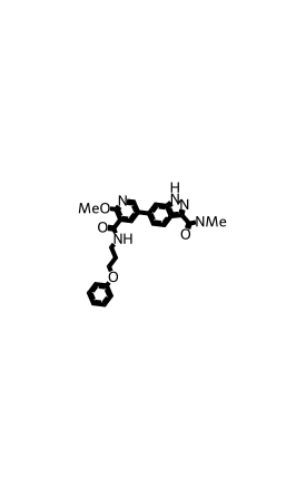 CNC(=O)c1n[nH]c2cc(-c3cnc(OC)c(C(=O)NCCCOc4ccccc4)c3)ccc12